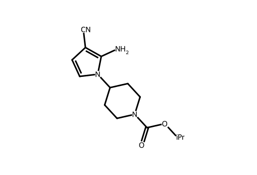 CC(C)OC(=O)N1CCC(n2ccc(C#N)c2N)CC1